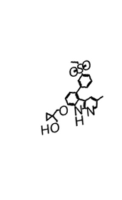 CCS(=O)(=O)c1cccc(-c2ccc(OCC3(CO)CC3)c3[nH]c4ncc(C)cc4c23)c1